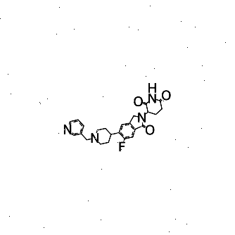 O=C1CCC(N2Cc3cc(C4CCN(Cc5cccnc5)CC4)c(F)cc3C2=O)C(=O)N1